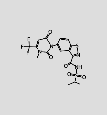 CC(C)S(=O)(=O)NC(=O)c1nsc2ccc(-n3c(=O)cc(C(F)(F)F)n(C)c3=O)cc12